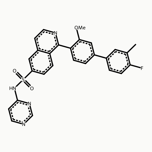 COc1cc(-c2ccc(F)c(C)c2)ccc1-c1nccc2cc(S(=O)(=O)Nc3ccncn3)ccc12